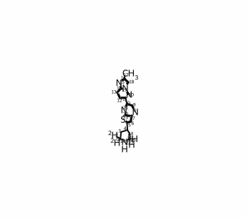 [2H]C1([2H])CC(c2cc3ncc(-c4ccc5nc(C)cn5n4)nc3s2)CC([2H])([2H])N1